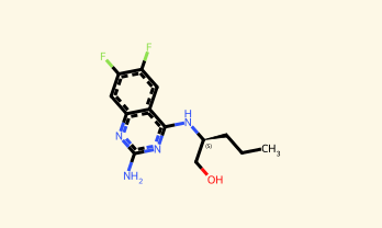 CCC[C@@H](CO)Nc1nc(N)nc2cc(F)c(F)cc12